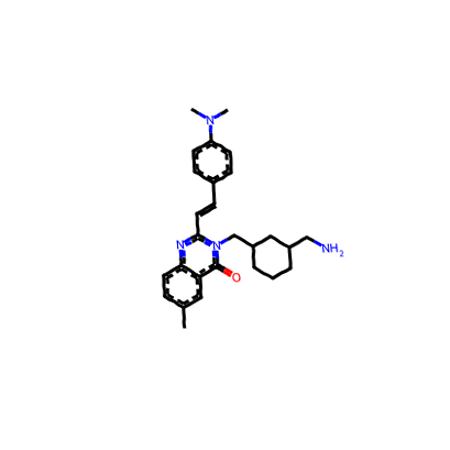 Cc1ccc2nc(/C=C/c3ccc(N(C)C)cc3)n(CC3CCCC(CN)C3)c(=O)c2c1